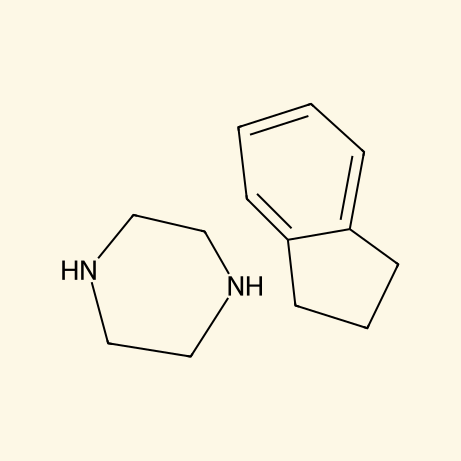 C1CNCCN1.c1ccc2c(c1)CCC2